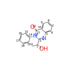 CC(O)c1nc2ccccc2c(=O)n1-c1ccccc1